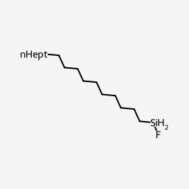 CCCCCCCCCCCCCCCCC[SiH2]F